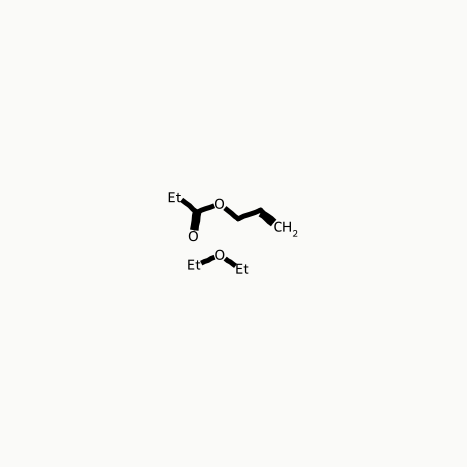 C=CCOC(=O)CC.CCOCC